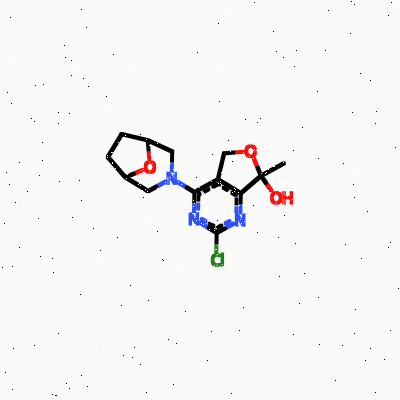 CC1(O)OCc2c(N3CC4CCC(C3)O4)nc(Cl)nc21